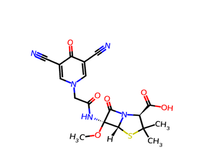 CO[C@@]1(NC(=O)Cn2cc(C#N)c(=O)c(C#N)c2)C(=O)N2[C@@H](C(=O)O)C(C)(C)S[C@@H]21